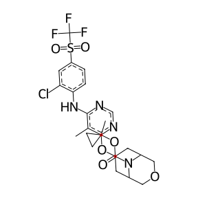 Cc1c(Nc2ccc(S(=O)(=O)C(F)(F)F)cc2Cl)ncnc1OC1CC2COCC(C1)N2C(=O)OC1(C)CC1